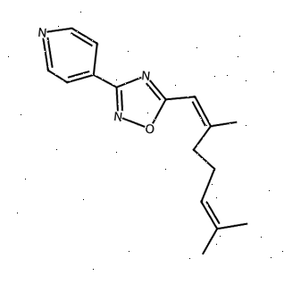 CC(C)=CCCC(C)=Cc1nc(-c2ccncc2)no1